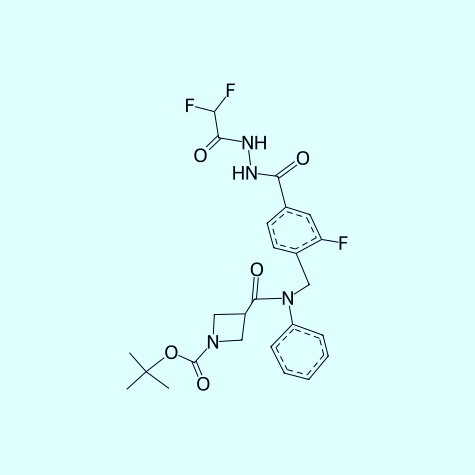 CC(C)(C)OC(=O)N1CC(C(=O)N(Cc2ccc(C(=O)NNC(=O)C(F)F)cc2F)c2ccccc2)C1